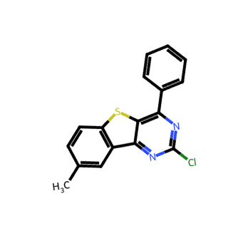 Cc1ccc2sc3c(-c4ccccc4)nc(Cl)nc3c2c1